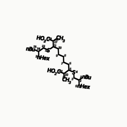 CCCCCCC(CCCC)CSC(CCCCCC(SCC(CCCC)CCCCCC)C(C)C(=O)O)C(C)C(=O)O